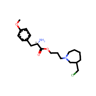 COc1ccc(C[C@H](N)C(=O)OCCCN2CCCCC(CCl)C2)cc1